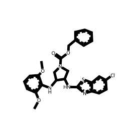 COc1cccc(OC)c1NC1CN(C(=O)OCc2ccccc2)CC1Nc1nc2ccc(Cl)cc2s1